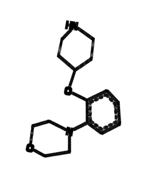 c1ccc(N2CCOCC2)c(OC2CCNCC2)c1